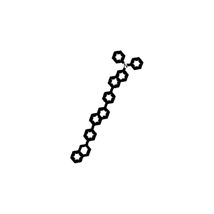 C1=CC(c2ccc(-c3ccc4cc(-c5ccc(-c6ccc7cc(N(c8ccccc8)c8ccccc8)ccc7c6)cc5)ccc4c3)cc2)Cc2ccccc21